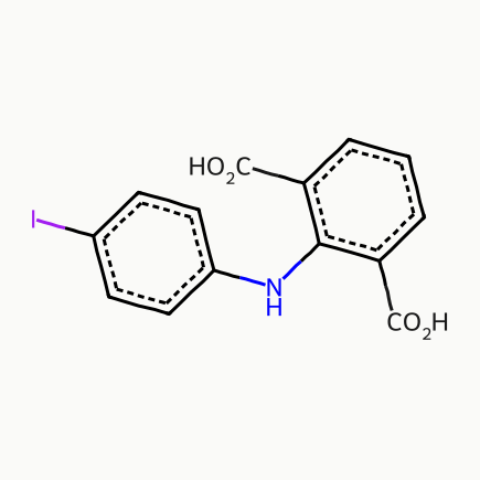 O=C(O)c1cccc(C(=O)O)c1Nc1ccc(I)cc1